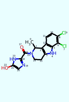 CC1c2c([nH]c3c(Cl)c(Cl)ccc23)CCN1C(=O)c1ncc(O)[nH]1